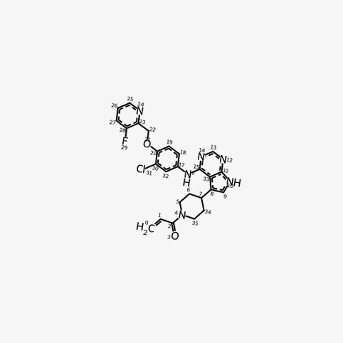 C=CC(=O)N1CCC(c2c[nH]c3ncnc(Nc4ccc(OCc5ncccc5F)c(Cl)c4)c23)CC1